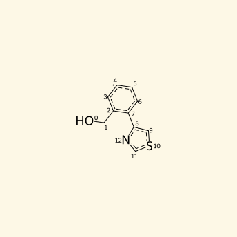 OCc1c[c]ccc1-c1cscn1